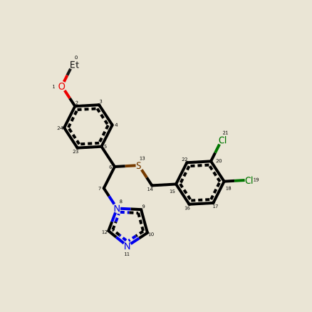 CCOc1ccc(C(Cn2ccnc2)SCc2ccc(Cl)c(Cl)c2)cc1